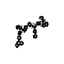 c1ccc(-c2ccc(-c3cc(-c4ccc(-c5c(-c6nccc7ccccc67)nc6ccccn56)cc4)nc(-c4cccc(-c5ccc6c(-c7nc8ccccn8c7-c7ccc(-c8ccc(-c9cc%10ccccc%10c%10ccccc9%10)cc8)cc7)nccc6c5)c4)n3)cc2)cc1